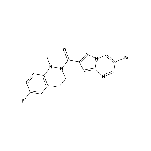 CN1c2ccc(F)cc2CCN1C(=O)c1cc2ncc(Br)cn2n1